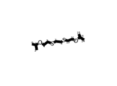 CC(C)OCCSCCSCCOC(C)C